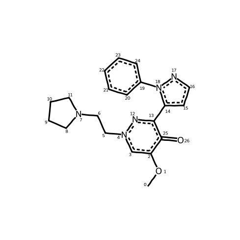 COc1cn(CCN2CCCC2)nc(-c2ccnn2-c2ccccc2)c1=O